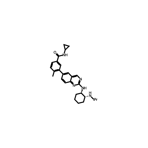 Cc1ccc(C(=O)NC2CC2)cc1-c1ccc2nc(N[C@@H]3CCCC[C@H]3NC(C)C)ncc2c1